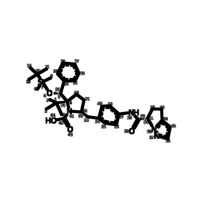 CC(C)(C)[C@@]1([C@H](O[Si](C)(C)C(C)(C)C)c2ccccc2)CC[C@@H](Cc2ccc(NC(=O)[C@@H]3CCc4ccnn43)cc2)N1C(=O)O